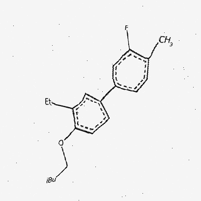 CCc1cc(-c2ccc(C)c(F)c2)ccc1OCC(C)CC